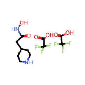 O=C(CC1CCNCC1)NO.O=C(O)C(F)(F)F.O=C(O)C(F)(F)F